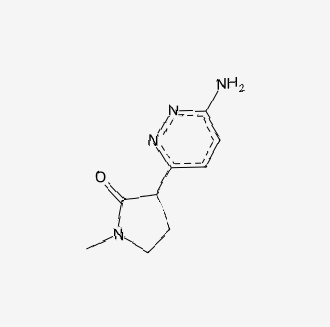 CN1CCC(c2ccc(N)nn2)C1=O